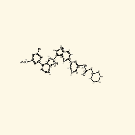 COc1cc(F)cc(-c2ccnc3[nH]c(-c4n[nH]c5ccc(-c6cncc(NC(=O)CC7CCCCC7)c6)nc45)nc23)c1